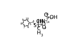 CC(C)(SCc1ccccc1)C(=O)NCC(=O)O